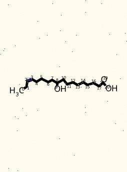 CC/C=C\CCCCC(O)CCCCCCCCC(=O)O